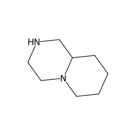 C1CCN2CCNCC2C1